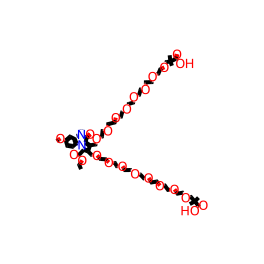 CCOC(=O)c1c(COCCOCCOCCOCCOCCOCCOCCOCC(C)(C)C(=O)O)c(COCCOCCOCCOCCOCCOCCOCCOCC(C)(C)C(=O)O)c(C(=O)N(C)C)n1-c1ccc(OC)cc1